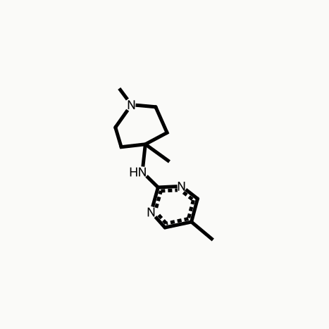 Cc1cnc(NC2(C)CCN(C)CC2)nc1